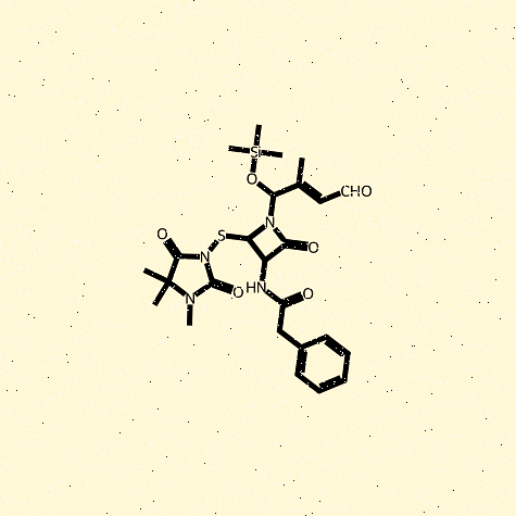 CC(=CC=O)C(O[Si](C)(C)C)N1C(=O)C(NC(=O)Cc2ccccc2)C1SN1C(=O)N(C)C(C)(C)C1=O